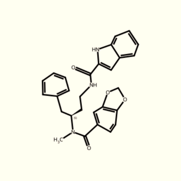 CN(C(=O)c1ccc2c(c1)OCO2)[C@H](CCNC(=O)c1cc2ccccc2[nH]1)Cc1ccccc1